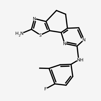 Cc1cc(Nc2ncc3c(n2)-c2sc(N)nc2CC3)ccc1F